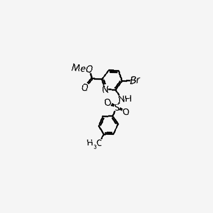 COC(=O)c1ccc(Br)c(NS(=O)(=O)c2ccc(C)cc2)n1